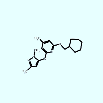 Cc1cc(OCC2CCCCC2)nc(Oc2cc(C(F)(F)F)nn2C)c1